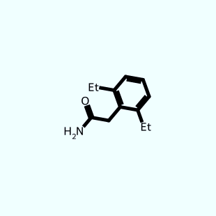 CCc1cccc(CC)c1CC(N)=O